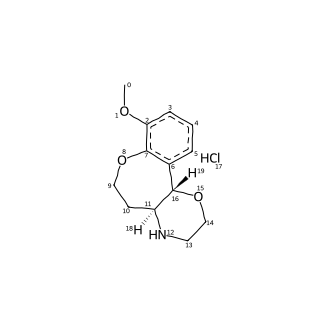 COc1cccc2c1OCC[C@@H]1NCCO[C@@H]21.Cl